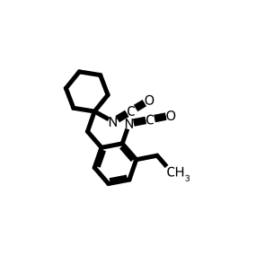 CCc1cccc(CC2(N=C=O)CCCCC2)c1N=C=O